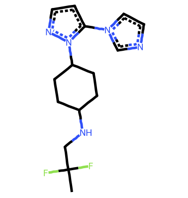 CC(F)(F)CNC1CCC(n2nccc2-n2ccnc2)CC1